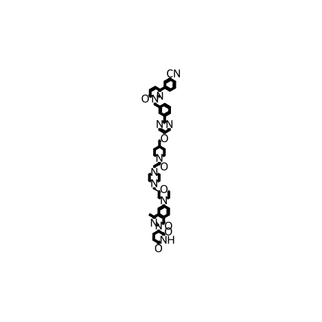 Cc1nn(C2CCC(=O)NC2=O)c(=O)c2ccc(N3CCO[C@H](CN4CCN(CC(=O)N5CCC(COc6cnc(-c7cccc(Cn8nc(-c9cccc(C#N)c9)ccc8=O)c7)nc6)CC5)CC4)C3)cc12